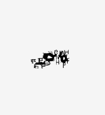 O=C(Nc1c[nH]c2cc(F)c(F)cc12)c1cccc(OC(F)(F)C(F)F)c1